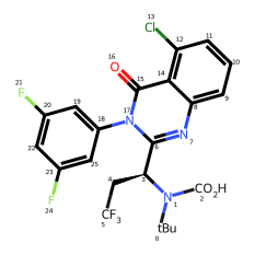 CC(C)(C)N(C(=O)O)[C@@H](CC(F)(F)F)c1nc2cccc(Cl)c2c(=O)n1-c1cc(F)cc(F)c1